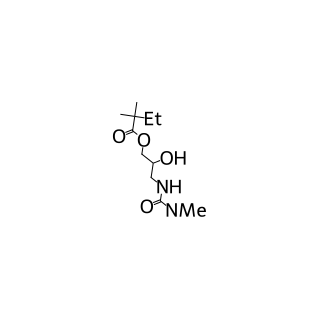 CCC(C)(C)C(=O)OCC(O)CNC(=O)NC